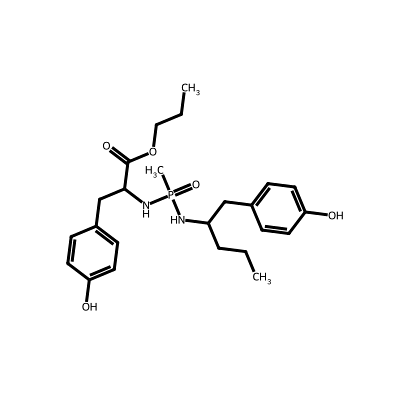 CCCOC(=O)C(Cc1ccc(O)cc1)NP(C)(=O)NC(CCC)Cc1ccc(O)cc1